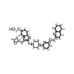 O=C(O)c1ccc2nc(CN3CCN(c4cccc(OCc5ccc6ccccc6n5)n4)CC3)n(CC3CCO3)c2c1